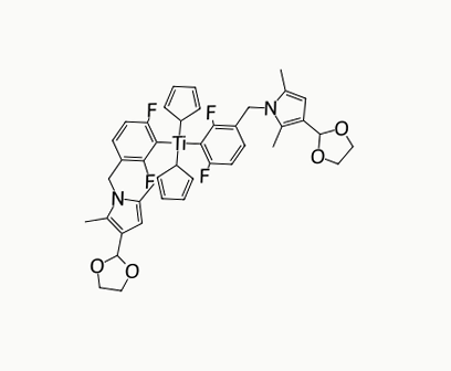 Cc1cc(C2OCCO2)c(C)n1Cc1ccc(F)[c]([Ti]([c]2c(F)ccc(Cn3c(C)cc(C4OCCO4)c3C)c2F)([CH]2C=CC=C2)[CH]2C=CC=C2)c1F